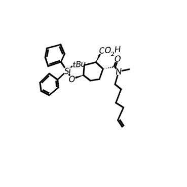 C=CCCCCN(C)C(=O)[C@@H]1CC[C@@H](O[Si](c2ccccc2)(c2ccccc2)C(C)(C)C)C[C@H]1C(=O)O